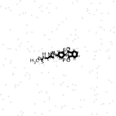 COC(=S)NCc1cn(-c2cc(F)c(N3C(=O)c4ccccc4C3=O)c(F)c2)nn1